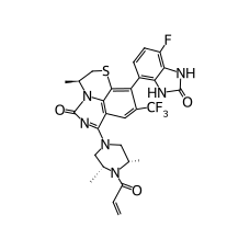 C=CC(=O)N1[C@H](C)CN(c2nc(=O)n3c4c(c(-c5ccc(F)c6[nH]c(=O)[nH]c56)c(C(F)(F)F)cc24)SC[C@@H]3C)C[C@@H]1C